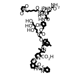 Cc1c(-c2ccc(N3CCc4cccc(C(=O)Nc5nc6ccccc6s5)c4C3)nc2C(=O)O)cnn1CC12CC3(C)CC(C)(C1)CC(OCCN(CC[C@@H](O)[C@H](O)[C@H](O)CO)C(=O)OCc1ccc(NC(=O)[C@@H](CCCNC(N)=O)NC(=O)[C@H](NC(=O)CCCCCN4C(=O)C=CC4=O)C(C)C)cc1)(C3)C2